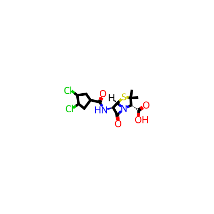 CC1(C)S[C@@H]2[C@H](NC(=O)C3CC(Cl)C(Cl)C3)C(=O)N2[C@H]1C(=O)O